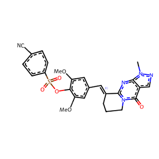 COc1cc(/C=C2\CCCn3c2nc2c(cnn2C)c3=O)cc(OC)c1OS(=O)(=O)c1ccc(C#N)cc1